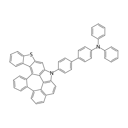 c1ccc(N(c2ccccc2)c2ccc(-c3ccc(-n4c5cc6sc7ccccc7c6c6c5c5c7c(cccc7ccc54)-c4ccccc4-6)cc3)cc2)cc1